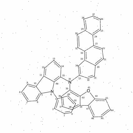 c1ccc(-n2c3ccccc3c3cccc(N(c4ccc5ccc6c7ccccc7ccc6c5c4)c4cccc5c4oc4ccccc45)c32)cc1